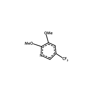 COc1cc(C(F)(F)F)cnc1OC